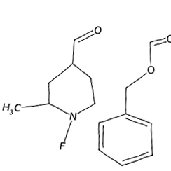 CC1CC(C=O)CCN1F.O=COCc1ccccc1